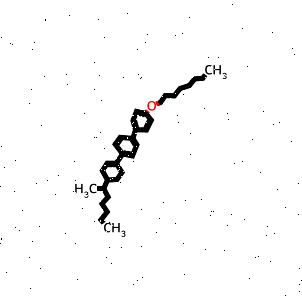 CCCCCCCCOc1ccc(-c2ccc(C3=CCC(C(C)CCCCC)CC3)cc2)cc1